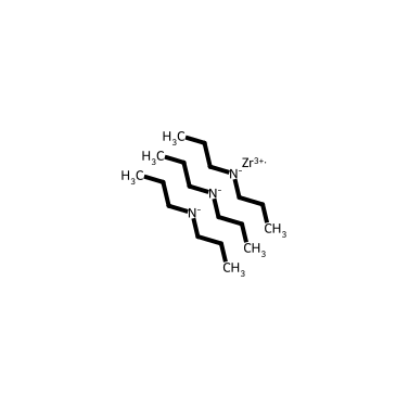 CCC[N-]CCC.CCC[N-]CCC.CCC[N-]CCC.[Zr+3]